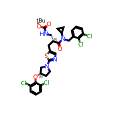 CC(C)(C)OC(=O)NC[C@@H](Cc1cnc(N2CC[C@@H](Oc3c(Cl)cccc3Cl)C2)s1)C(=O)N(Cc1cccc(Cl)c1Cl)C1CC1